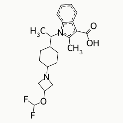 Cc1c(C(=O)O)c2ccccc2n1C(C)C1CCC(N2CC(OC(F)F)C2)CC1